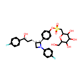 O=S(=O)(CC1OC(CO)C(O)C(O)C1O)Oc1ccc([C@@H]2[C@@H](CC[C@H](O)c3ccc(F)cc3)CN2c2ccc(F)cc2)cc1